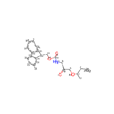 CCC(C)CC(C)OCC(=O)CNC(=O)OCC1c2ccccc2-c2ccccc21